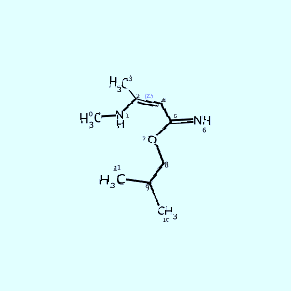 CN/C(C)=C\C(=N)OCC(C)C